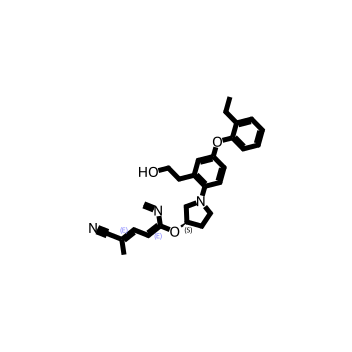 C=N/C(=C\C=C(/C)C#N)O[C@H]1CCN(c2ccc(Oc3ccccc3CC)cc2CCO)C1